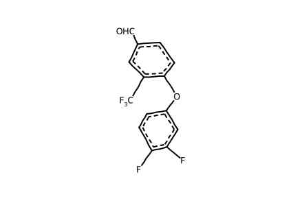 O=Cc1ccc(Oc2ccc(F)c(F)c2)c(C(F)(F)F)c1